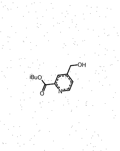 CC(C)COC(=O)c1cc(CO)ccn1